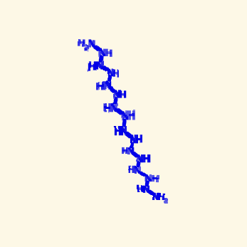 NNNNNNNNNNNNNNNN